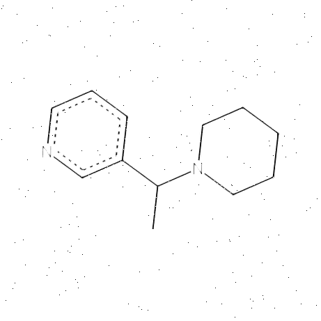 CC(c1cccnc1)N1CCCCC1